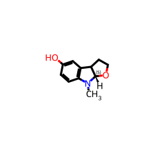 CN1c2ccc(O)cc2C2CCO[C@@H]21